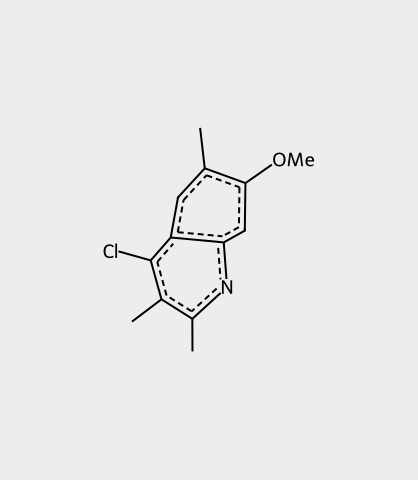 COc1cc2nc(C)c(C)c(Cl)c2cc1C